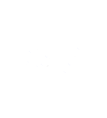 CN(Cc1cccnc1)c1cc(-c2cnc3c(-c4ccccn4)c(N)nn3c2)ccn1